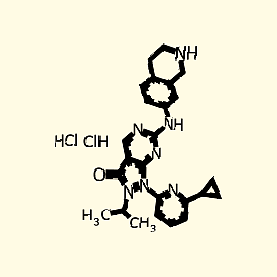 CC(C)n1c(=O)c2cnc(Nc3ccc4c(c3)CNCC4)nc2n1-c1cccc(C2CC2)n1.Cl.Cl